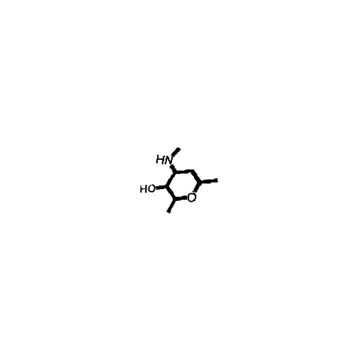 CNC1CC(C)OC(C)C1O